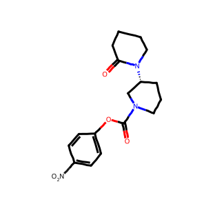 O=C(Oc1ccc([N+](=O)[O-])cc1)N1CCC[C@@H](N2CCCCC2=O)C1